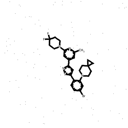 Cc1cc(-c2cc(-c3ccc(Br)cc3N3CCC4(CC3)CC4)sn2)cc(N2CCC(F)(F)CC2)n1